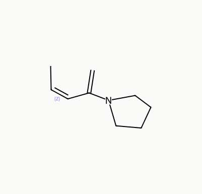 C=C(/C=C\C)N1CCCC1